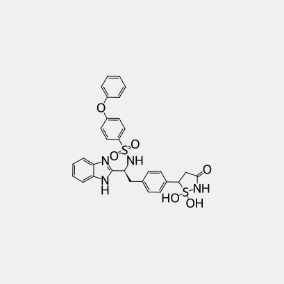 O=C1CC(c2ccc(C[C@H](NS(=O)(=O)c3ccc(Oc4ccccc4)cc3)c3nc4ccccc4[nH]3)cc2)S(O)(O)N1